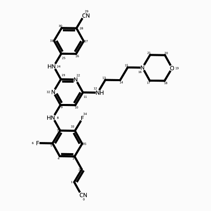 N#C/C=C/c1cc(F)c(Nc2cc(NCCCN3CCOCC3)nc(Nc3ccc(C#N)cc3)n2)c(F)c1